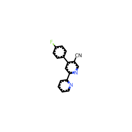 N#Cc1cnc(-c2ccccn2)cc1-c1ccc(F)cc1